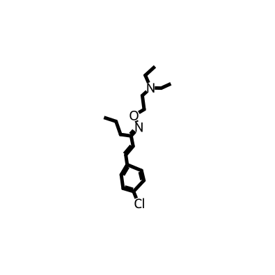 CCC/C(C=Cc1ccc(Cl)cc1)=N\OCCN(CC)CC